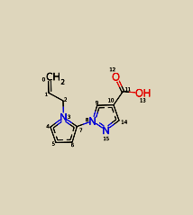 C=CCn1cccc1-n1cc(C(=O)O)cn1